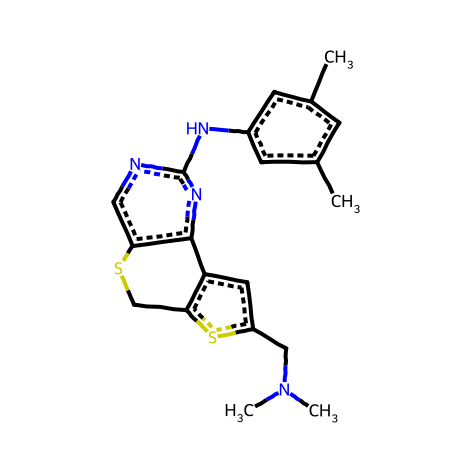 Cc1cc(C)cc(Nc2ncc3c(n2)-c2cc(CN(C)C)sc2CS3)c1